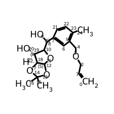 C=CCOCc1cc([C@H](O)C2OC3OC(C)(C)O[C@H]3[C@@H]2O)ccc1C